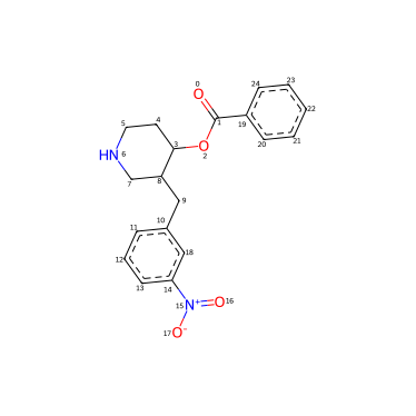 O=C(OC1CCNCC1Cc1cccc([N+](=O)[O-])c1)c1ccccc1